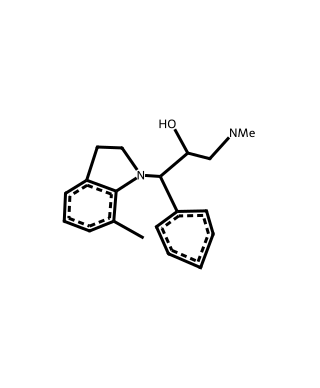 CNCC(O)C(c1ccccc1)N1CCc2cccc(C)c21